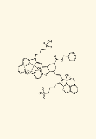 Cc1ccc(SC2=C(/C=C/C3=[N+](CCCCS(=O)(=O)[O-])c4ccc5ccccc5c4C3(C)C)CC(C(=O)OCc3ccccc3)C/C2=C\C=C2\N(CCCCS(=O)(=O)O)c3ccc4ccccc4c3C2(C)C)cc1